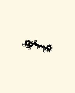 O=C(CCCCNCC(O)c1ccccc1)c1cc2c3c(c1)CCN3C(=O)CC2